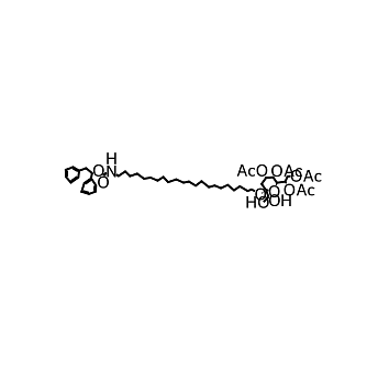 CC(=O)OC[C@@H](OC(C)=O)[C@H]1O[C@@](OCCCCCCCCCCCCCCCCCCCCCCNC(=O)OC(Cc2ccccc2)c2ccccc2)(C(O)O)C[C@@H](OC(C)=O)[C@H]1OC(C)=O